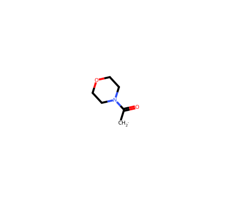 [CH2]C(=O)N1CCOCC1